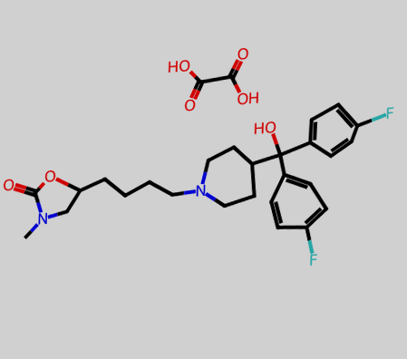 CN1CC(CCCCN2CCC(C(O)(c3ccc(F)cc3)c3ccc(F)cc3)CC2)OC1=O.O=C(O)C(=O)O